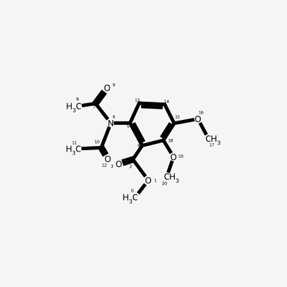 COC(=O)c1c(N(C(C)=O)C(C)=O)ccc(OC)c1OC